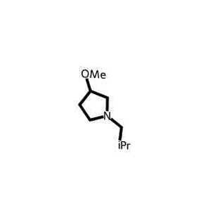 COC1CCN(CC(C)C)C1